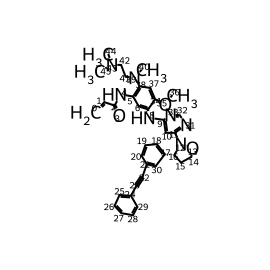 C=CC(=O)Nc1cc(Nc2cc(N3OCC[C@@H]3c3cccc(C#Cc4ccccc4)c3)ncn2)c(OC)cc1N(C)CCN(C)C